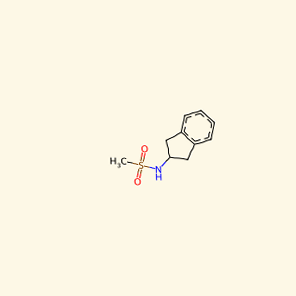 CS(=O)(=O)NC1Cc2ccccc2C1